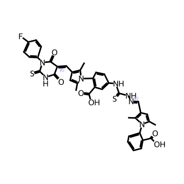 Cc1cc(/C=N/NC(=S)Nc2ccc(-n3c(C)cc(/C=C4\C(=O)NC(=S)N(c5ccc(F)cc5)C4=O)c3C)c(C(=O)O)c2)c(C)n1-c1ccccc1C(=O)O